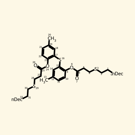 CCCCCCCCCCCCSCCC(=O)Oc1ccc(C)cc1Sc1cc(C)ccc1OC(=O)CCSCCCCCCCCCCCC